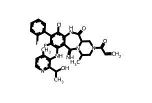 C=CC(=O)N1CC(C)N2C(=N)c3c(Nc4c(C)ccnc4C(C)O)c(F)c(-c4ccccc4F)c(Cl)c3NC(=O)C2C1